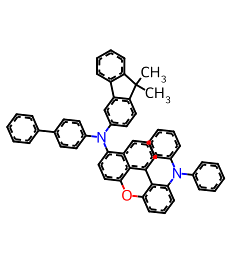 CC1(C)c2ccccc2-c2cc(N(c3ccc(-c4ccccc4)cc3)c3ccc4c5c(cccc35)-c3c(cccc3N(c3ccccc3)c3ccccc3)O4)ccc21